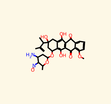 C=C(C)C(C)C1(O)Cc2c(O)c3c(c(O)c2C(OC2CC(N)C(N=O)C(C)O2)C1)C(=O)c1c(OC)cccc1C3=O